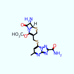 Cc1cc(SCC2=C(OC(=O)O)N3C(=O)[C@@H](N)[C@H]3SC2)n2nc(C(N)=O)nc2n1